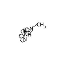 CCCCn1ccc2c(Nc3c(C)ccc4cccnc34)nccc21